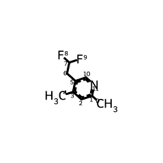 Cc1cc(C)c(CC(F)F)cn1